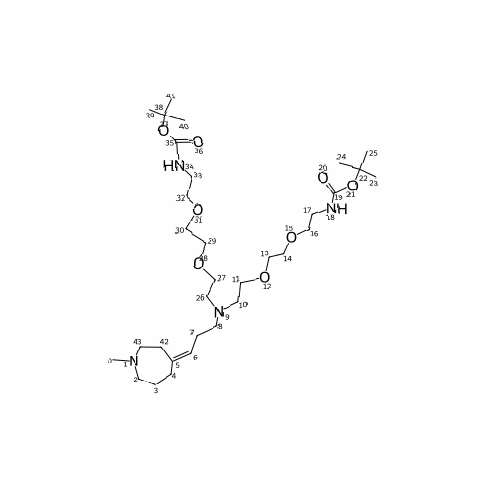 CN1CCC/C(=C/CCN(CCOCCOCCNC(=O)OC(C)(C)C)CCOCCOCCNC(=O)OC(C)(C)C)CC1